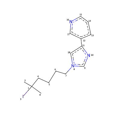 CC(C)(I)CCCCn1cnc(-c2cccnc2)c1